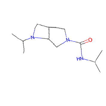 CC(C)NC(=O)N1CC2CN(C(C)C)C2C1